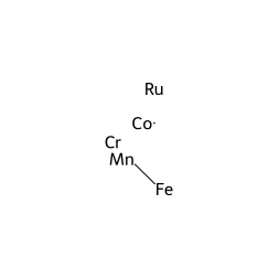 [Co].[Cr].[Mn][Fe].[Ru]